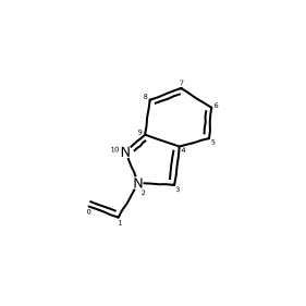 C=Cn1cc2ccccc2n1